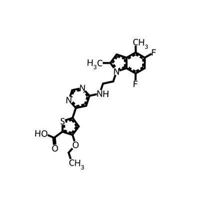 CCOc1cc(-c2cc(NCCn3c(C)cc4c(C)c(F)cc(F)c43)ncn2)sc1C(=O)O